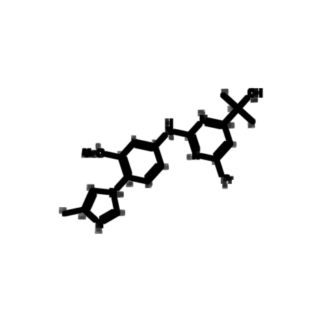 COc1cc(Nc2nc(C(C)C)cc(C(C)(C)O)n2)ccc1-n1cnc(C)c1